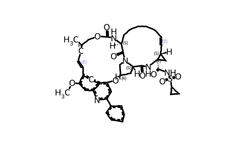 COc1cc2nc(-c3ccccc3)cc3c2cc1/C=C/C[C@@H](C)COC(=O)N[C@H]1CCCCC/C=C\[C@@H]2C[C@@]2(C(=O)NS(=O)(=O)C2CC2)NC(=O)[C@@H]2C[C@H](CN2C1=O)O3